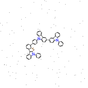 c1ccc(-n2c3ccccc3c3cc(-c4ccc5c(c4)c4ccccc4n5-c4ccc(-c5cccc6c5sc5c6c6ccccc6n5-c5ccccc5)cc4)ccc32)cc1